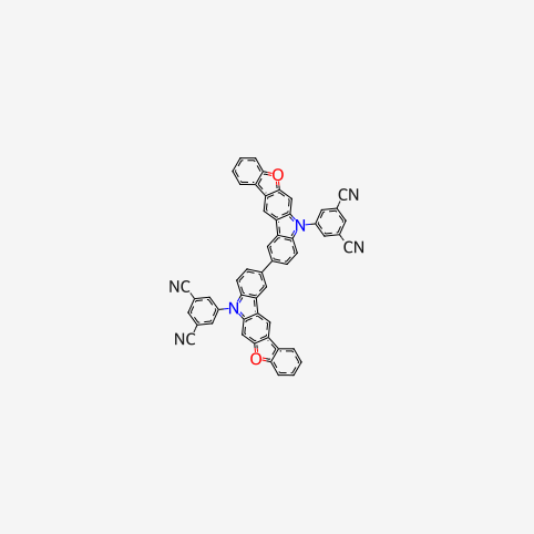 N#Cc1cc(C#N)cc(-n2c3ccc(-c4ccc5c(c4)c4cc6c(cc4n5-c4cc(C#N)cc(C#N)c4)oc4ccccc46)cc3c3cc4c(cc32)oc2ccccc24)c1